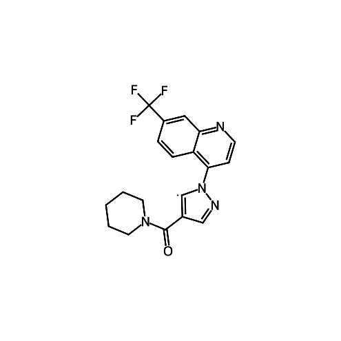 O=C(c1[c]n(-c2ccnc3cc(C(F)(F)F)ccc23)nc1)N1CCCCC1